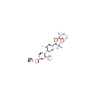 CC(C)Oc1ccc(-c2cc3c(cc2F)[C@H](OC(N)=O)C(C)(C)C3)c(Cl)c1